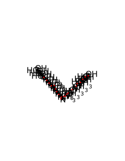 Cn1cccn1.Cn1cccn1.Cn1cccn1.Cn1cccn1.Cn1cccn1.Cn1cccn1.Cn1cccn1.Cn1cccn1.Cn1cccn1.Cn1cccn1.Cn1cccn1.Cn1cccn1.OB(O)F.OB(O)F.OB(O)F.OB(O)F.OB(O)F.OB(O)F